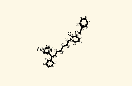 O=c1c(OCc2ccccc2)cccn1CCCCCCC(c1ccccc1)c1c[nH]nn1